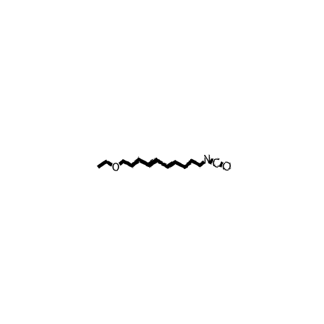 CCOCCCCCCCCCCN=C=O